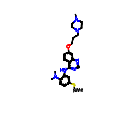 CNSc1ccc(N(C)C)c(Nc2ncnc3cc(OCCCN4CCN(C)CC4)ccc23)c1